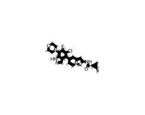 O=C(Nc1cc2cc(-c3c(Cl)c(F)c(N4CCOCC4)c4[nH]ncc34)ccn2n1)[C@@H]1C[C@@H]1F